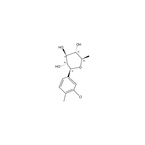 Cc1ccc([C@@H]2O[C@H](C)[C@@H](O)[C@H](O)[C@H]2O)cc1Cl